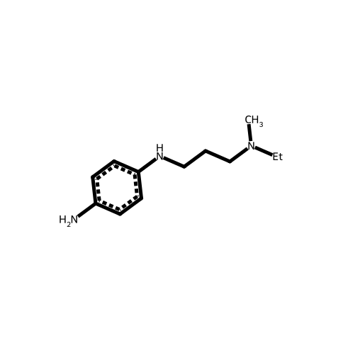 CCN(C)CCCNc1ccc(N)cc1